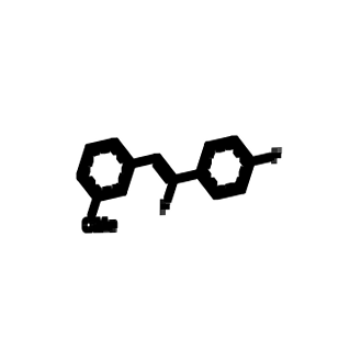 COc1cccc(C=C(F)c2ccc(F)cc2)c1